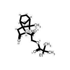 CCC(C)(C)C(=O)OCC(=O)N1C(=O)CC12C1CCC(C1)C2(C)C